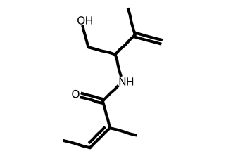 C=C(C)C(CO)NC(=O)/C(C)=C\C